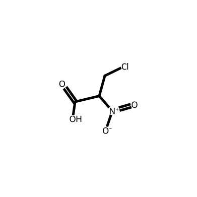 O=C(O)C(CCl)[N+](=O)[O-]